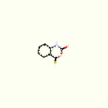 O=c1[nH]c2ccccc2c(=S)o1